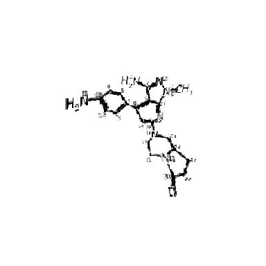 Cn1nc(N)c2c(-c3ccc(N)cc3)cc(N3CCN4C(=O)CCC4C3)nc21